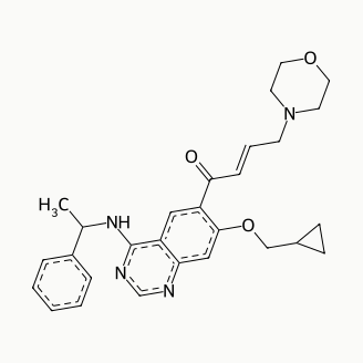 CC(Nc1ncnc2cc(OCC3CC3)c(C(=O)C=CCN3CCOCC3)cc12)c1ccccc1